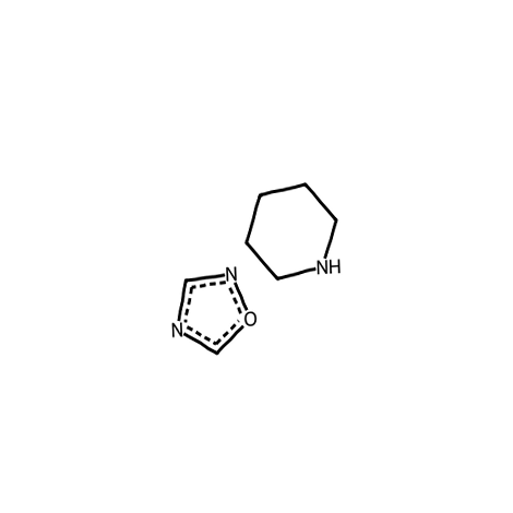 C1CCNCC1.c1ncon1